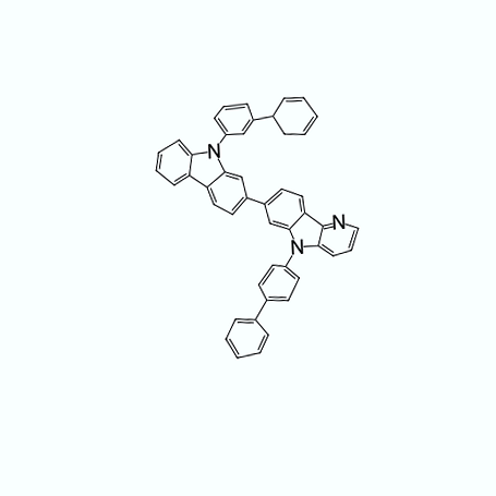 C1=CCC(c2cccc(-n3c4ccccc4c4ccc(-c5ccc6c7ncccc7n(-c7ccc(-c8ccccc8)cc7)c6c5)cc43)c2)C=C1